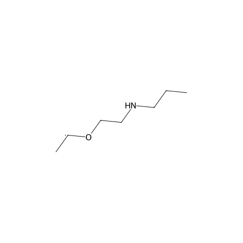 C[CH]OCCNCCC